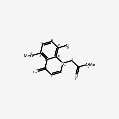 COC(=O)Cn1ccc(=O)c2c(OC)ccc(Cl)c21